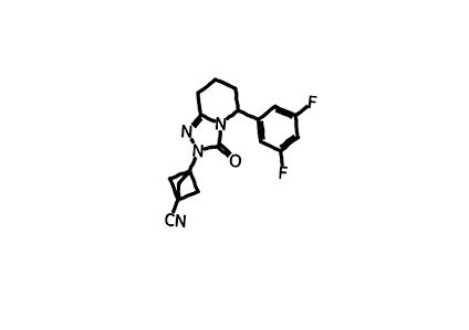 N#CC12CC(n3nc4n(c3=O)C(c3cc(F)cc(F)c3)CCC4)(C1)C2